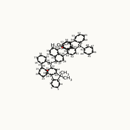 CC1(C)c2ccccc2-c2ccc(N(c3ccccc3-c3ccccc3)c3ccc4c5c(cccc35)[Si](C)(C)c3cc(N(c5ccccc5)c5ccccc5-c5ccccc5)ccc3-4)cc21